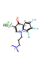 CN(C)CCCn1cc(C(=O)O)c(=O)c2cc(F)c(F)c(F)c21.Cl